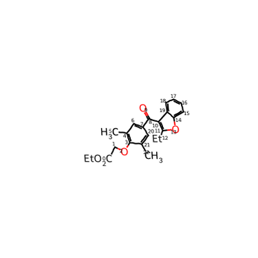 CCOC(=O)COc1c(C)cc(C(=O)c2c(CC)oc3ccccc23)cc1C